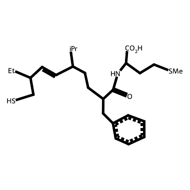 CCC(C=CC(CCC(Cc1ccccc1)C(=O)NC(CCSC)C(=O)O)C(C)C)CS